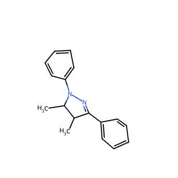 CC1C(c2ccccc2)=NN(c2ccccc2)C1C